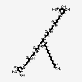 CCC(=O)CCCCCCCCCCC(=O)NC(COCCC(=O)NCCCNC(=O)CCCCO[C@H]1C[C@@H](O)[C@@H](O)[C@@H](CO)O1)COCCC(=O)NCCCNC(=O)CCCCO[C@H]1C[C@@H](O)[C@@H](O)[C@@H](CO)O1